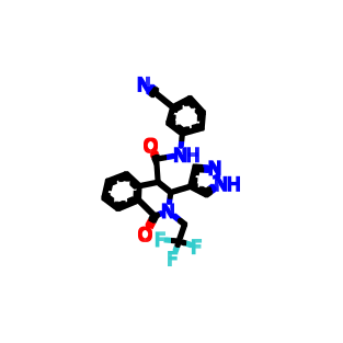 N#Cc1cccc(NC(=O)C2c3ccccc3C(=O)N(CC(F)(F)F)C2c2cn[nH]c2)c1